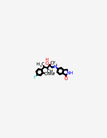 COc1cc(F)ccc1C(C)C(C)C(O)(/C=N/c1ccc2c(c1)CNC2=O)C(F)(F)F